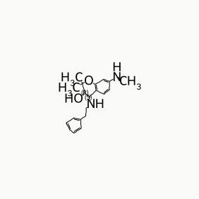 CNc1ccc2c(c1)OC(C)(C)[C@H](O)[C@H]2NCCc1ccccc1